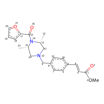 COC(=O)C=Cc1ccc(CN2C[C@@H](C)N(C(=O)c3ccco3)[C@@H](C)C2)cc1